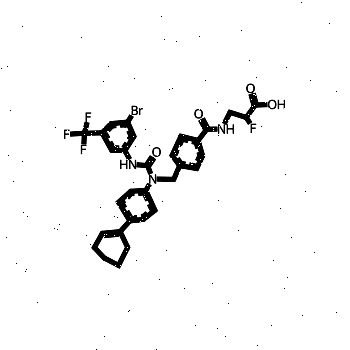 O=C(NCC(F)C(=O)O)c1ccc(CN(C(=O)Nc2cc(Br)cc(C(F)(F)F)c2)c2ccc(C3=CCCCC3)cc2)cc1